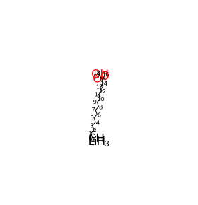 CCCCCCCCCCCCCCCC(=O)OO.[LiH]